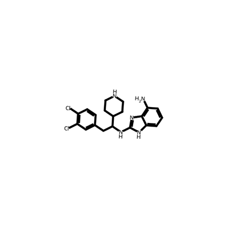 Nc1cccc2[nH]c(NC(Cc3ccc(Cl)c(Cl)c3)C3CCNCC3)nc12